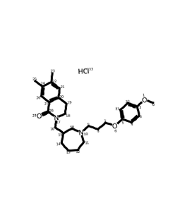 COc1ccc(OCCCN2CCCCC(CN3CCc4cc(C)c(C)cc4C3=O)C2)cc1.Cl